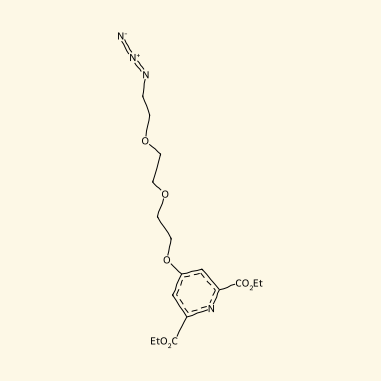 CCOC(=O)c1cc(OCCOCCOCCN=[N+]=[N-])cc(C(=O)OCC)n1